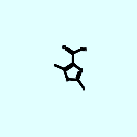 Cc1sc(I)nc1C(=O)O